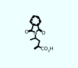 C=C(CC(C)N1C(=O)c2ccccc2C1=O)C(=O)O